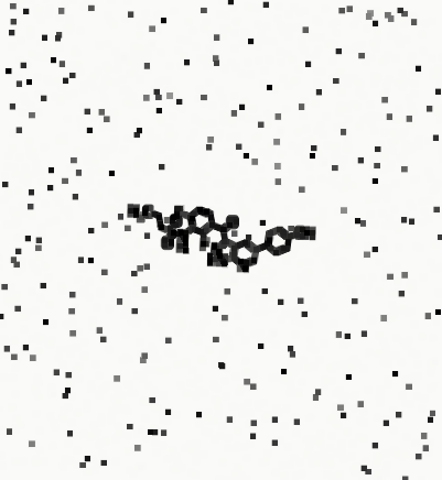 CCCS(=O)(=O)Nc1c(F)ccc(C(=O)c2n[nH]c3ncc(-c4ccc(O)cc4)cc23)c1F